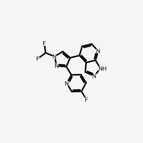 Fc1ccc(-c2nn(C(F)F)cc2-c2ccnc3[nH]ncc23)nc1